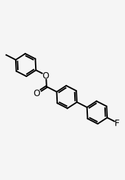 Cc1ccc(OC(=O)c2ccc(-c3ccc(F)cc3)cc2)cc1